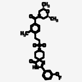 Cc1cc(C(=O)N2C[C@@H](C)O[C@@H](C)C2)ccc1CCS(=O)(=O)N1CCC2(CC1)N=C(c1cccc(OF)c1)NC2=O